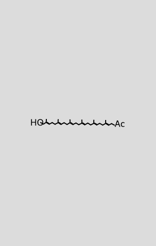 CC(=O)CC/C=C(\C)CC/C=C(\C)CC/C=C(\C)CC/C=C(\C)CC/C=C(\C)CC/C=C(\C)CO